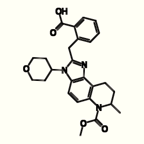 COC(=O)N1c2ccc3c(nc(Cc4ccccc4C(=O)O)n3C3CCOCC3)c2CCC1C